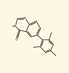 Cc1cc(C)c(-c2ccc3nc[nH]c(=O)c3c2)c(C)c1